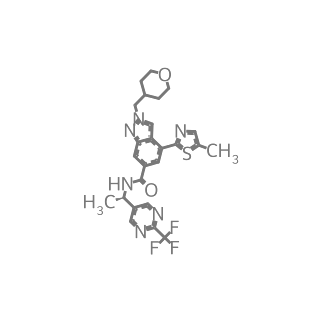 Cc1cnc(-c2cc(C(=O)N[C@H](C)c3cnc(C(F)(F)F)nc3)cc3nn(CC4CCOCC4)cc23)s1